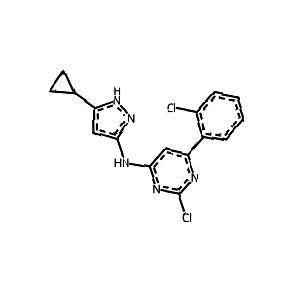 Clc1nc(Nc2cc(C3CC3)[nH]n2)cc(-c2ccccc2Cl)n1